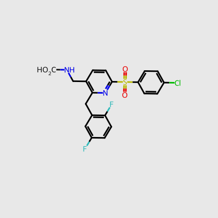 O=C(O)NCc1ccc(S(=O)(=O)c2ccc(Cl)cc2)nc1Cc1cc(F)ccc1F